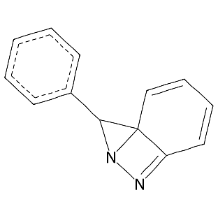 C1=CC2=NN3C(c4ccccc4)C23C=C1